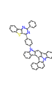 c1ccc(-c2nc(-c3ccc(-n4c5ccccc5c5c6c7c8ccccc8ccc7n7c8ccccc8c(cc54)c67)cc3)c3sc4ccccc4c3n2)cc1